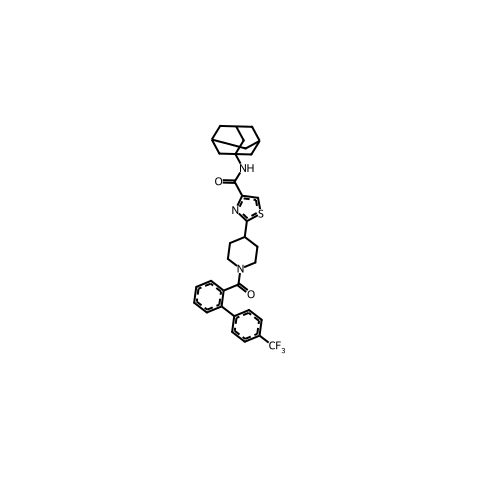 O=C(NC12CC3CC(CC(C3)C1)C2)c1csc(C2CCN(C(=O)c3ccccc3-c3ccc(C(F)(F)F)cc3)CC2)n1